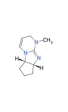 CN1CC=CN2C1=N[C@@H]1CCC[C@@H]12